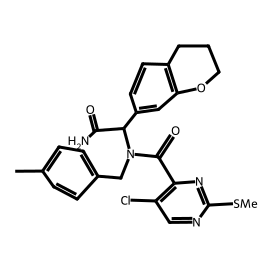 CSc1ncc(Cl)c(C(=O)N(Cc2ccc(C)cc2)C(C(N)=O)c2ccc3c(c2)OCCC3)n1